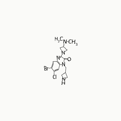 CN(C)C1CN(c2nc3cc(Br)c(Cl)cc3n(CC3CNC3)c2=O)C1